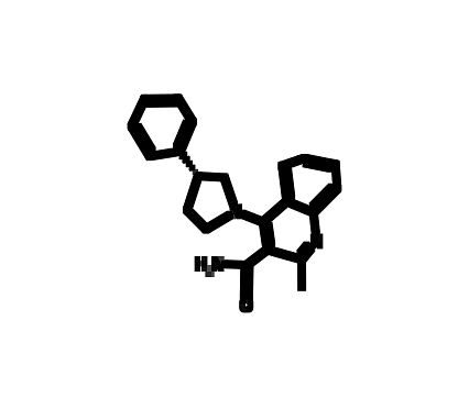 Cc1nc2cc[c]cc2c(N2CC[C@H](c3ccccc3)C2)c1C(N)=O